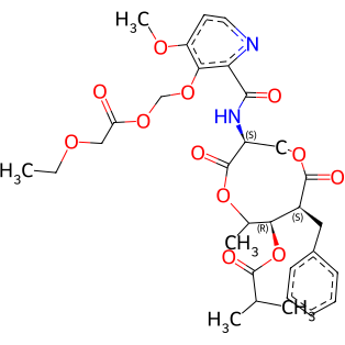 CCOCC(=O)OCOc1c(OC)ccnc1C(=O)N[C@H]1COC(=O)[C@@H](Cc2ccccc2)[C@@H](OC(=O)C(C)C)C(C)OC1=O